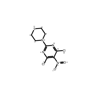 O=[N+]([O-])c1c(Cl)nc(N2CCSCC2)nc1Cl